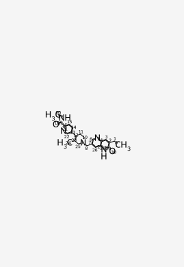 CCc1cc2ncc(CN3CCC(c4ccc(C(=O)NC)nc4)=C(C)C3)cc2[nH]c1=O